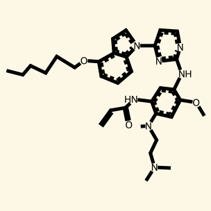 C=CC(=O)Nc1cc(Nc2nccc(-n3ccc4c(OCCCCCC)cccc43)n2)c(OC)cc1N(C)CCN(C)C